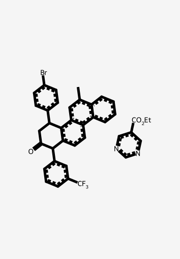 CCOC(=O)c1cncnc1.Cc1cc2c3c(ccc2c2ccccc12)C(c1cccc(C(F)(F)F)c1)C(=O)CC3c1ccc(Br)cc1